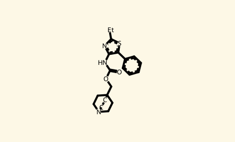 CCc1nc(NC(=O)OCC23CCN(CC2)CC3)c(-c2ccccc2)s1